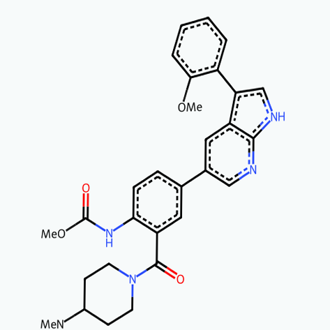 CNC1CCN(C(=O)c2cc(-c3cnc4[nH]cc(-c5ccccc5OC)c4c3)ccc2NC(=O)OC)CC1